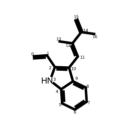 C=Cc1[nH]c2ccccc2c1/C=C(\C)C(=C)C